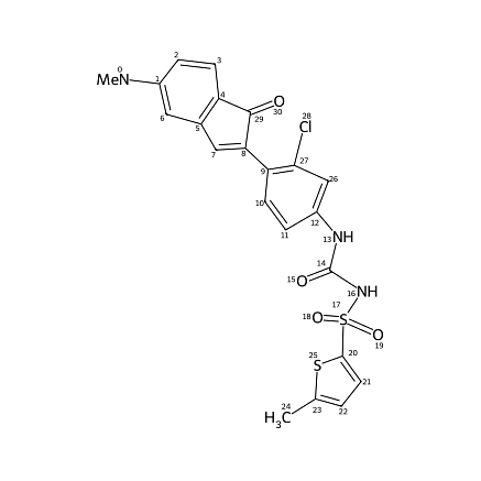 CNc1ccc2c(c1)C=C(c1ccc(NC(=O)NS(=O)(=O)c3ccc(C)s3)cc1Cl)C2=O